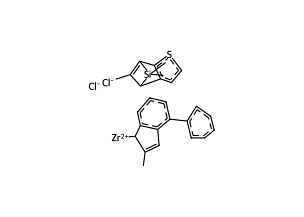 CC1=C2c3sccc3C1[Si]2(C)C.CC1=Cc2c(-c3ccccc3)cccc2[CH]1[Zr+2].[Cl-].[Cl-]